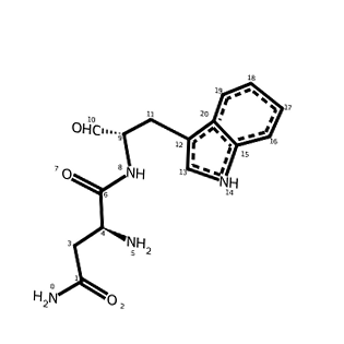 NC(=O)C[C@H](N)C(=O)N[C@H](C=O)Cc1c[nH]c2ccccc12